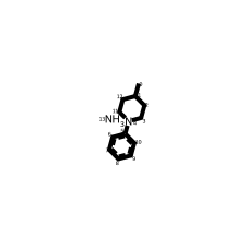 CC1CCN(c2ccccc2)CC1.N